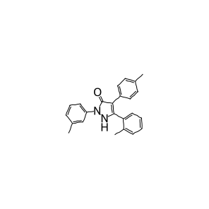 Cc1ccc(-c2c(-c3ccccc3C)[nH]n(-c3cccc(C)c3)c2=O)cc1